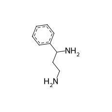 NCCC(N)c1ccccc1